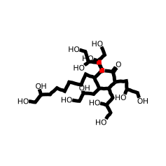 O=C(OCC(O)CO)C(CC(O)CO)C(CC(O)CO)C(CC(O)CO)C(CCCCCCC(O)CO)CC(O)CO